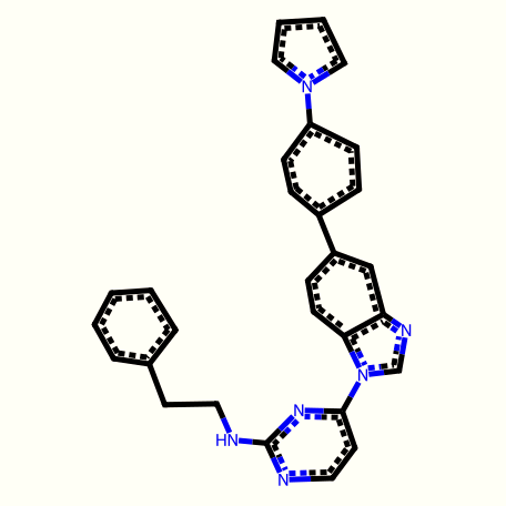 c1ccc(CCNc2nccc(-n3cnc4cc(-c5ccc(-n6cccc6)cc5)ccc43)n2)cc1